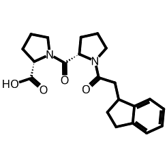 O=C(O)[C@@H]1CCCN1C(=O)[C@@H]1CCCN1C(=O)CC1CCc2ccccc21